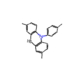 Cc1ccc(N2c3ccc(C)cc3Bc3cc(C)ccc32)cc1